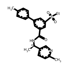 CCS(=O)(=O)c1cc(C(=O)N[C@H](C)c2ccc(C)nc2)cc(-c2ccc(C)cc2)c1